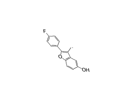 [CH2]c1c(-c2ccc(F)cc2)oc2ccc(O)cc12